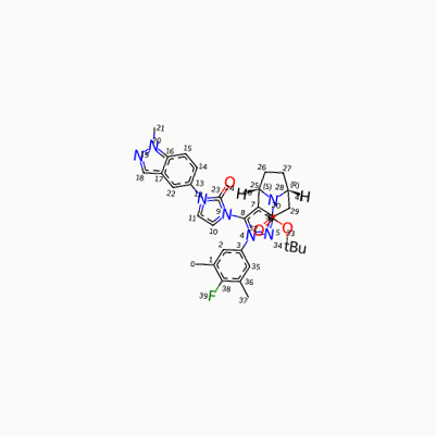 Cc1cc(-n2nc3c(c2-n2ccn(-c4ccc5c(cnn5C)c4)c2=O)[C@@H]2CC[C@H](C3)N2C(=O)OC(C)(C)C)cc(C)c1F